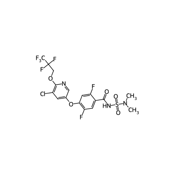 CN(C)S(=O)(=O)NC(=O)c1cc(F)c(Oc2cnc(OCC(F)(F)C(F)(F)F)c(Cl)c2)cc1F